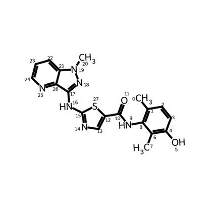 Cc1ccc(O)c(C)c1NC(=O)c1cnc(Nc2nn(C)c3cccnc23)s1